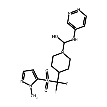 Cn1nccc1S(=O)(=O)C(F)(F)C1CCN(C(O)Nc2ccnnc2)CC1